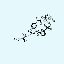 CC(=O)NC[C@H]1CN(S(=O)(=O)c2cccc(C(F)(F)F)n2)c2cc(NC(=O)OC(C)(C)C)ccc2O1